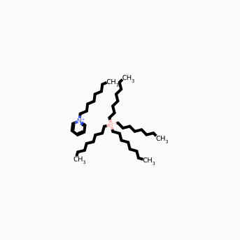 CCCCCCCC[B-](CCCCCCCC)(CCCCCCCC)CCCCCCCC.CCCCCCCC[n+]1ccccc1